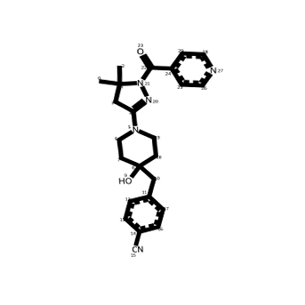 CC1(C)CC(N2CCC(O)(Cc3ccc(C#N)cc3)CC2)=NN1C(=O)c1ccncc1